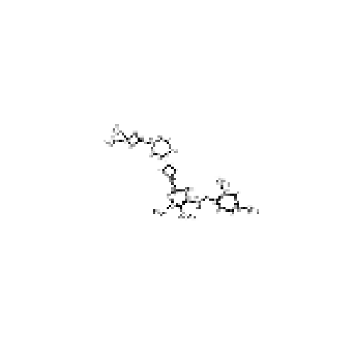 CNc1c(C)nc(N2CC([C@H]3CCCN(C4CC(C)(C)C4)C3)C2)nc1NCc1ccc(C)cc1C